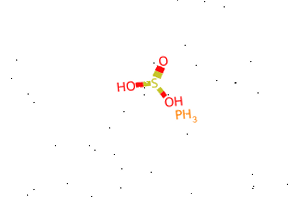 O=S(O)O.P